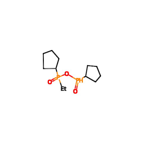 CCP(=O)(O[PH](=O)C1CCCC1)C1CCCC1